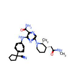 CNC(=O)C[C@@H]1CCCN(c2cnc(C(N)=O)c(Nc3ccc(C4(C#N)CCCC4)cc3)n2)[C@@H]1C